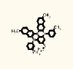 Cc1cccc(N2c3cc4cc(C)ccc4cc3B3c4cc5ccc(C)cc5cc4N(c4cccc(C)c4)c4cc(SC(F)(F)F)cc2c43)c1